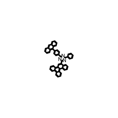 c1ccc(-c2nc(-c3ccc(-c4c5ccccc5cc5ccccc45)cc3)nc(-c3cc4c5ccccc5c5ccccc5c4c4ccccc34)n2)cc1